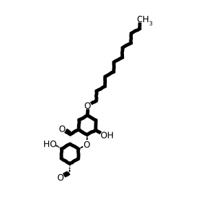 CCCCCCCCCCCCOC1CC(O)[C@H](O[C@H]2C[C@@H](O)C[C@@H](C=O)C2)C(C=O)C1